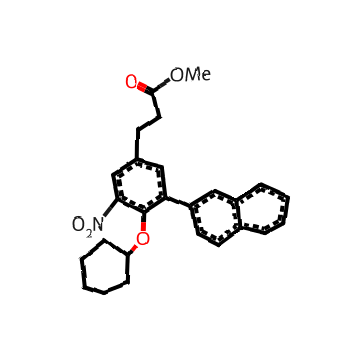 COC(=O)CCc1cc(-c2ccc3ccccc3c2)c(OC2CCCCC2)c([N+](=O)[O-])c1